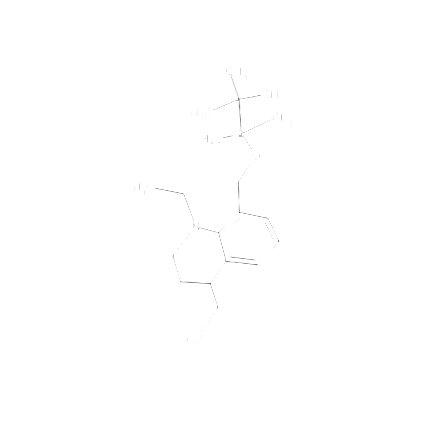 CCN1CCC(CO)c2cccc(CO[Si](C)(C)C(C)(C)C)c21